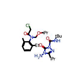 CC(C)c1nn(C(=O)NC(C)(C)C)c(=O)n1N.CCc1cccc(C)c1N(COC(C)C)C(=O)CCl